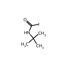 CC(C)(C)NC(=O)I